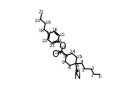 CCCCCC1(C#N)CCC(C(=O)Oc2ccc(CCCC)cc2)CC1